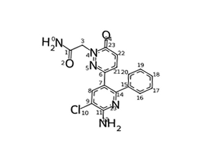 NC(=O)Cn1nc(-c2cc(Cl)c(N)nc2-c2ccccc2)ccc1=O